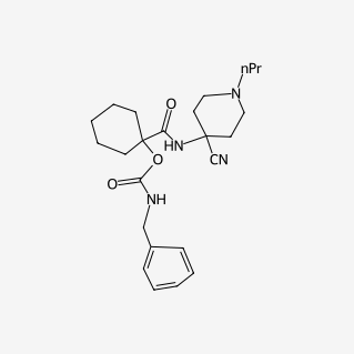 CCCN1CCC(C#N)(NC(=O)C2(OC(=O)NCc3ccccc3)CCCCC2)CC1